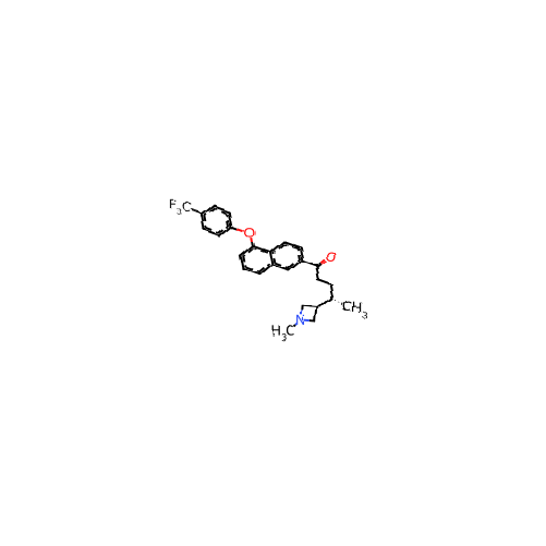 C[C@@H](CCC(=O)c1ccc2c(Oc3ccc(C(F)(F)F)cc3)cccc2c1)C1CN(C)C1